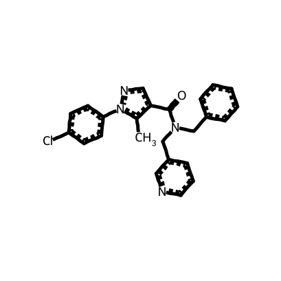 Cc1c(C(=O)N(Cc2ccccc2)Cc2cccnc2)cnn1-c1ccc(Cl)cc1